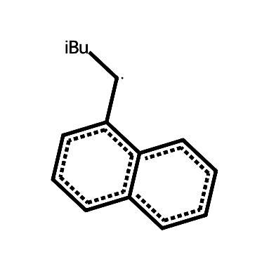 CCC(C)[CH]c1cccc2ccccc12